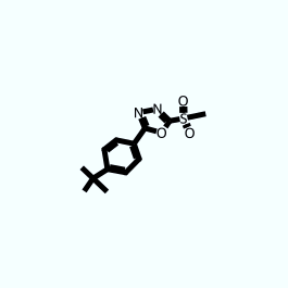 CC(C)(C)c1ccc(-c2nnc(S(C)(=O)=O)o2)cc1